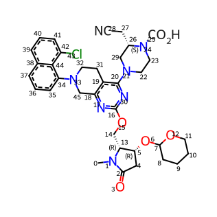 CN1C(=O)C[C@@H](OC2CCCCO2)[C@H]1COc1nc2c(c(N3CCN(C(=O)O)[C@@H](CC#N)C3)n1)CCN(c1cccc3cccc(Cl)c13)C2